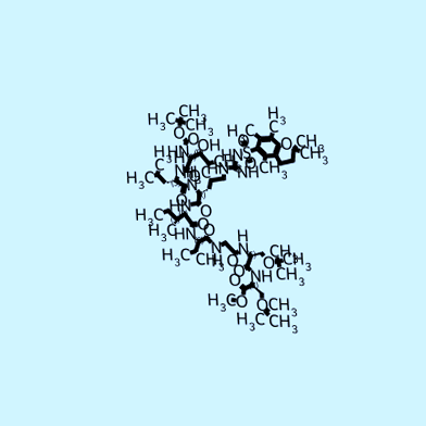 CC[C@H](C)[C@H](NC(=O)[C@@H](CCCNC(=N)NS(=O)(=O)c1c(C)c(C)c2c(c1C)CCC(C)(C)O2)NC(=O)[C@H](CC(C)C)NC(=O)[C@@H](NC(=O)OC(C)(C)C)[C@H](O)C(C)C)C(=O)N[C@H](C(=O)NCC(=O)N[C@@H](COC(C)(C)C)C(=O)N[C@@H](COC(C)(C)C)C(=O)OC)C(C)C